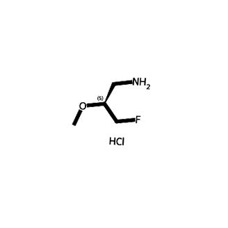 CO[C@@H](CN)CF.Cl